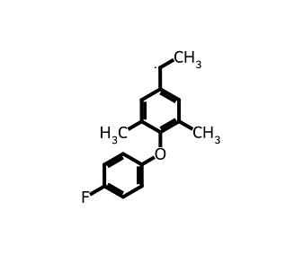 C[CH]c1cc(C)c(Oc2ccc(F)cc2)c(C)c1